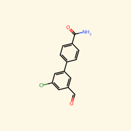 NC(=O)c1ccc(-c2cc(Cl)cc(C=O)c2)cc1